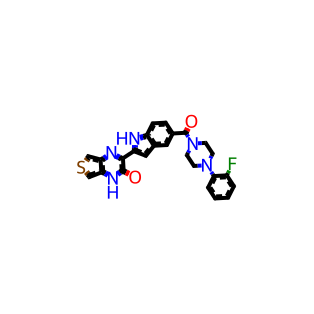 O=C(c1ccc2[nH]c(-c3nc4cscc4[nH]c3=O)cc2c1)N1CCN(c2ccccc2F)CC1